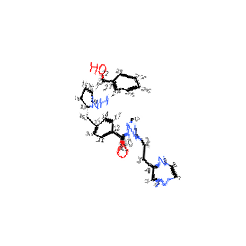 CN(CCc1cnccn1)C(=O)c1ccc(C[C@@H]2CC[C@H](C(O)c3ccccc3)N2)cc1